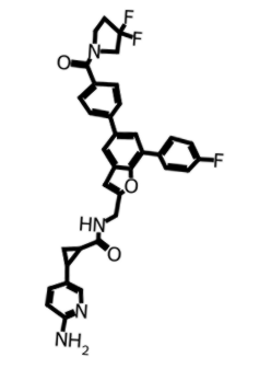 Nc1ccc(C2CC2C(=O)NCc2cc3cc(-c4ccc(C(=O)N5CCC(F)(F)C5)cc4)cc(-c4ccc(F)cc4)c3o2)cn1